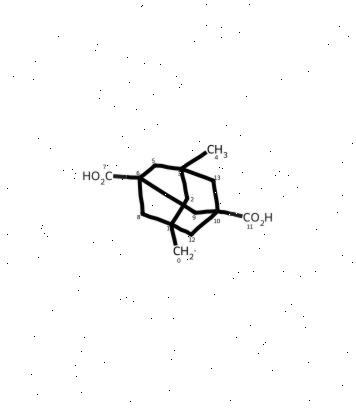 [CH2]C12CC3(C)CC(C(=O)O)(C1)CC(C(=O)O)(C2)C3